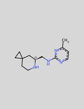 Cc1ccnc(NC[C@@H]2CC3(CCN2)CC3)n1